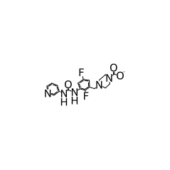 COC(=O)N1CCN(Cc2cc(F)cc(NC(=O)Nc3cccnc3)c2F)CC1